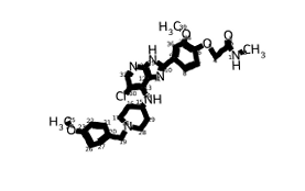 CNC(=O)COc1ccc(-c2nc3c(NC4CCN(Cc5ccc(OC)cc5)CC4)c(Cl)cnc3[nH]2)cc1OC